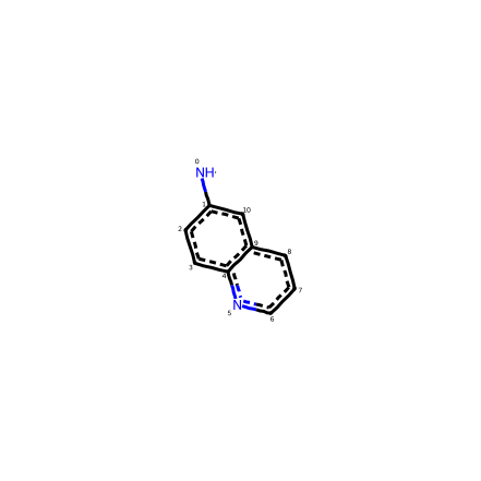 [NH]c1ccc2ncccc2c1